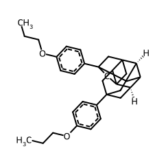 CCCOc1ccc(C23CC4C56CC7(c8ccc(OCCC)cc8)CC([C@H]5C2)[C@@H](C3)C4(C7)C6)cc1